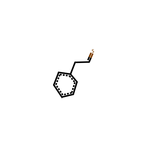 S=CCc1cc[c]cc1